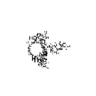 CCOc1ccc2c(O[C@@H]3C[C@H]4C(=O)N[C@]5(C(=O)NS(=O)(=O)C6(C)CC6)C[C@H]5C=CCC[C@H](C)C[C@@H](C)[C@H](N(CC5(C)CC5)C(=O)O)C(=O)N4C3)nccc2c1